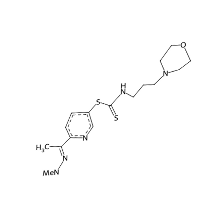 CNN=C(C)c1ccc(SC(=S)NCCCN2CCOCC2)cn1